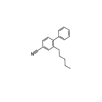 CCCCCc1cc(C#N)ccc1-c1ccccc1